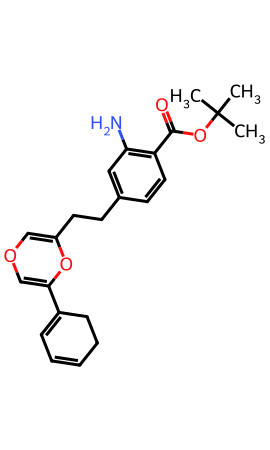 CC(C)(C)OC(=O)c1ccc(CCC2=COC=C(C3=CC=CCC3)O2)cc1N